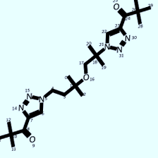 CC(C)(CCn1cc(C(=O)C(C)(C)C)nn1)OCC(C)(C)n1cc(C(=O)C(C)(C)C)nn1